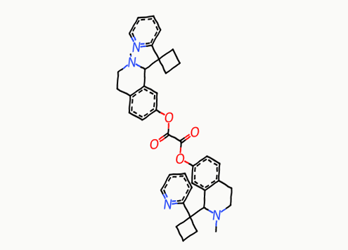 CN1CCc2ccc(OC(=O)C(=O)Oc3ccc4c(c3)C(C3(c5ccccn5)CCC3)N(C)CC4)cc2C1C1(c2ccccn2)CCC1